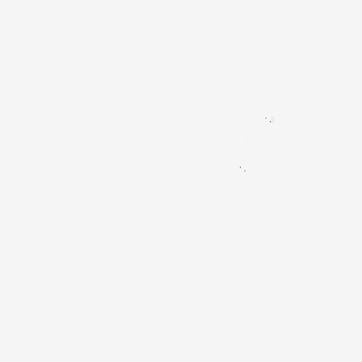 O=CNC(=S)NC1CC(c2cccs2)Oc2ccc(Br)cc21